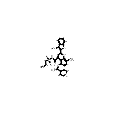 Cc1c(-c2cc(C(=O)NS(=O)(=O)CCO)c3c(OC(C)C4CCOCC4)ccc(C)c3n2)oc2ccccc12